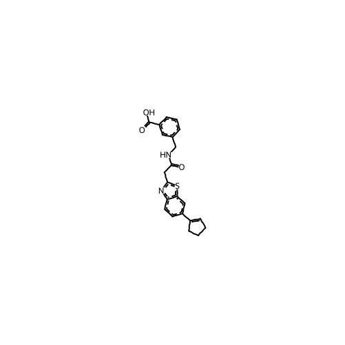 O=C(Cc1nc2ccc(C3=CCCC3)cc2s1)NCc1cccc(C(=O)O)c1